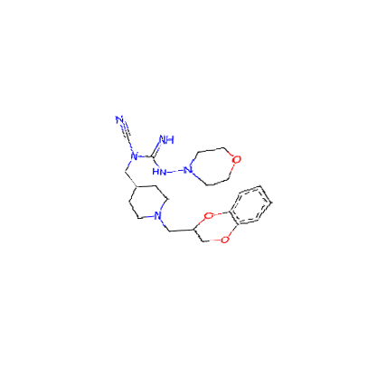 N#CN(CC1CCN(CC2COc3ccccc3O2)CC1)C(=N)NN1CCOCC1